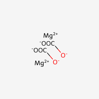 O=C([O-])[O-].O=C([O-])[O-].[Mg+2].[Mg+2]